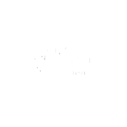 CCCCc1c(C(O)c2nccn2C)cccc1C(F)(F)F